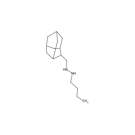 CCCCNNCC1C2CC3CC(C2)CC1C3